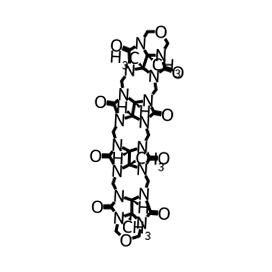 C[C@]12[C@H]3N4CN5C(=O)N6CN7C(=O)N8CN9C(=O)N%10COCN%11C(=O)N(CN%12C(=O)N(CN%13C(=O)N(CN3C(=O)N1COCN2C4=O)[C@]5(C)[C@@H]6%13)[C@@H]7[C@H]%128)[C@]9(C)[C@@]%10%11C